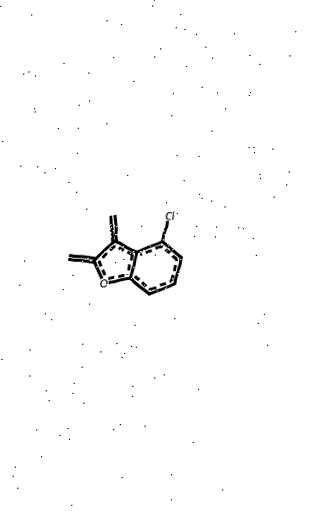 C=c1oc2cccc(Cl)c2c1=C